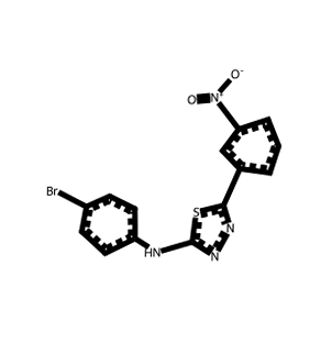 O=[N+]([O-])c1cccc(-c2nnc(Nc3ccc(Br)cc3)s2)c1